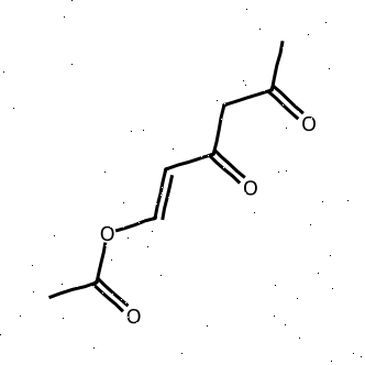 CC(=O)CC(=O)C=COC(C)=O